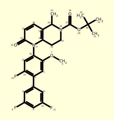 COc1cc(-c2cc(F)cc(F)c2)c(F)cc1-n1c2c(ccc1=O)C(C)N(C(=O)OC(C)(C)C)CC2